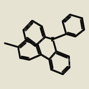 Cc1ccc(-c2ccccc2P(c2ccccc2)c2ccccc2)cc1